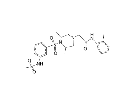 Cc1ccccc1NC(=O)CN1CC(C)N(S(=O)(=O)c2cccc(NS(C)(=O)=O)c2)C(C)C1